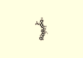 Cc1cc(Oc2c(F)cccc2F)ncc1N1N=CC(C(=O)c2cc3cc(OCC(F)F)c(C4CCNCC4)cc3[nH]2)C1(C)N